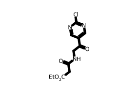 CCOC(=O)CC(=O)NCC(=O)c1cnc(Cl)nc1